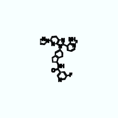 Nc1ncccc1-c1nc2ccc(-n3cccn3)nc2n1-c1ccc2c(c1)CC[C@@H]2NC(=O)c1cncc(F)c1